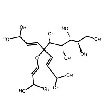 OC[C@@H](O)[C@@H](O)[C@H](O)[C@@H](O)C(C=CC(O)O)(C=CC(O)O)OC=CC(O)O